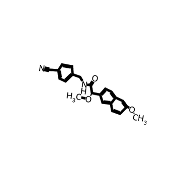 COc1ccc2cc([C@H](OC)C(=O)NCc3ccc(C#N)cc3)ccc2c1